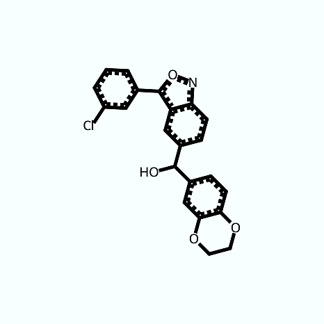 OC(c1ccc2c(c1)OCCO2)c1ccc2noc(-c3cccc(Cl)c3)c2c1